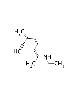 C#CC(=C)/C=C\C=C(\C)NCC